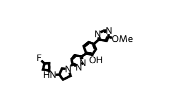 COc1cc(-c2ccc(-c3ccc(N4CCC(NC5CC(F)C5)C4)nn3)c(O)c2)ncn1